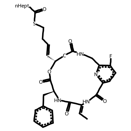 C/C=C1\NC(=O)c2ccc(F)c(n2)CNC(=O)C[C@@H](/C=C/CCSC(=O)CCCCCCC)OC(=O)[C@H](Cc2ccccc2)NC1=O